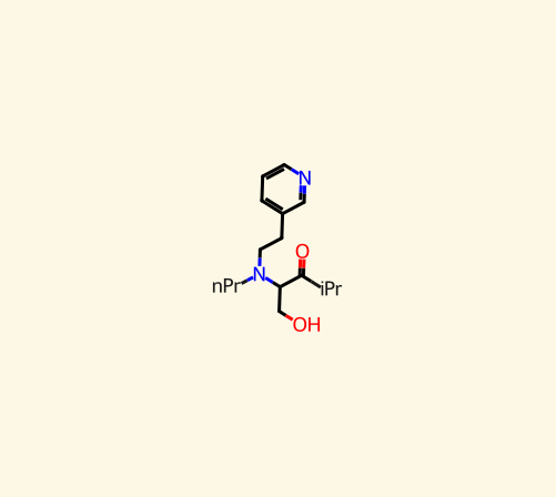 [CH2]CCN(CCc1cccnc1)C(CO)C(=O)C(C)C